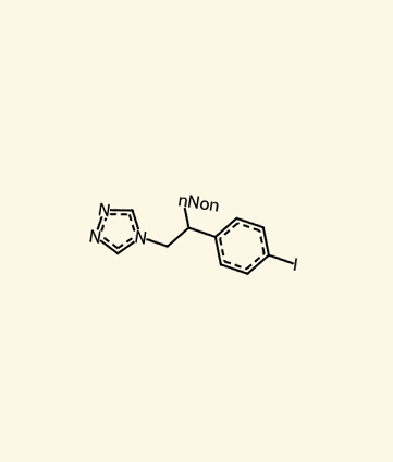 CCCCCCCCCC(Cn1cnnc1)c1ccc(I)cc1